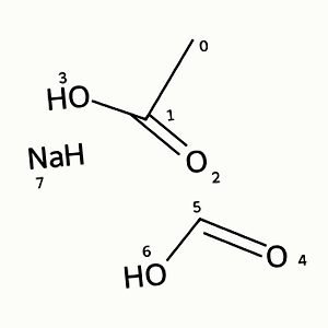 CC(=O)O.O=CO.[NaH]